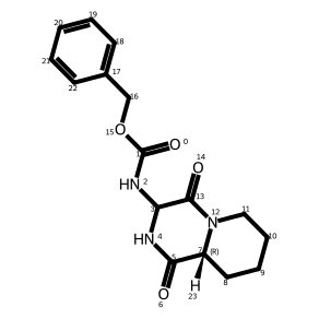 O=C(NC1NC(=O)[C@H]2CCCCN2C1=O)OCc1ccccc1